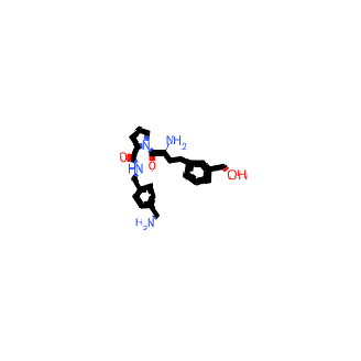 NCc1ccc(CNC(=O)C2CCCN2C(=O)[C@H](N)CCc2cccc(CO)c2)cc1